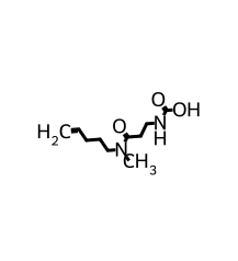 C=CCCCN(C)C(=O)CCNC(=O)O